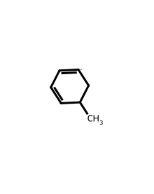 CC1C=CC=[C]C1